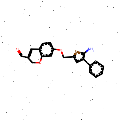 Nc1sc(COc2ccc3c(c2)OCC(C=O)=C3)cc1-c1ccccc1